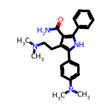 CN(C)CCc1c(-c2ccc(N(C)C)cc2)[nH]c(-c2ccccc2)c1C(N)=O